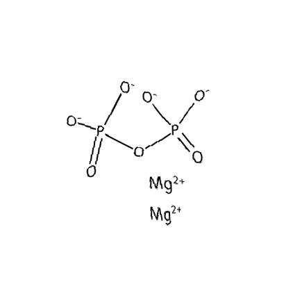 O=P([O-])([O-])OP(=O)([O-])[O-].[Mg+2].[Mg+2]